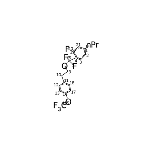 CCCc1ccc(C(F)(F)OCCc2ccc(OC(F)(F)F)cc2)c(F)c1